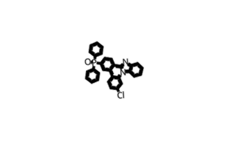 O=P(c1ccccc1)(c1ccccc1)c1ccc2c(c1)c1ccc(Cl)cc1n1c3ccccc3nc21